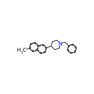 Cc1ccc2cc(C3CCN(Cc4ccccc4)CC3)ccc2c1